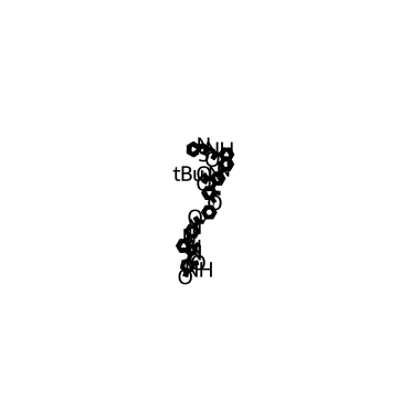 Cc1c(O[C@H]2CC[C@H](CC(=O)N3CCN(c4cccc5c(C6CCC(=O)NC6=O)nn(C)c45)CC3)CC2)cccc1-c1ccc(N2CCc3cccc(C(=O)Nc4nc5ccccc5s4)c3C2)nc1C(=O)OC(C)(C)C